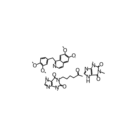 CC(=O)CCCCn1c(=O)c2c(ncn2C)n(C)c1=O.COc1ccc(Cc2nccc3cc(OC)c(OC)cc23)cc1OC.Cn1c(=O)c2[nH]cnc2n(C)c1=O